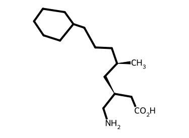 C[C@H](CCCC1CCCCC1)C[C@H](CN)CC(=O)O